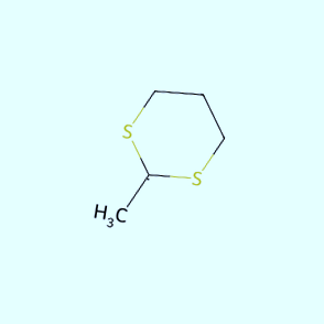 C[C]1SCCCS1